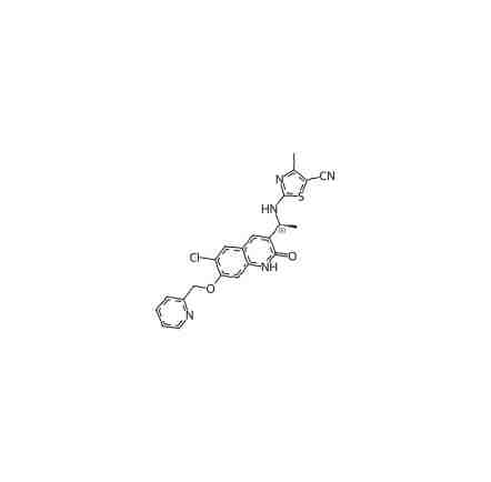 Cc1nc(N[C@@H](C)c2cc3cc(Cl)c(OCc4ccccn4)cc3[nH]c2=O)sc1C#N